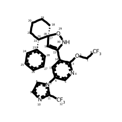 FC(F)(F)COc1ncc(-n2ccnc2C(F)(F)F)cc1C1=C[C@]2(CCCC[C@H]2c2ccccc2)ON1